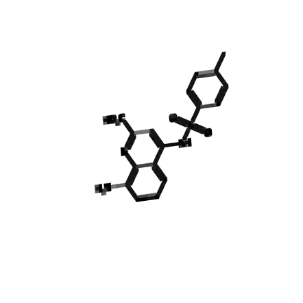 Cc1ccc(S(=O)(=O)Nc2cc(C(=O)O)nc3c(N)cccc23)cc1